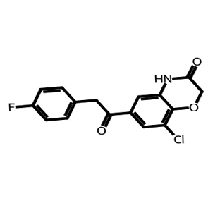 O=C1COc2c(Cl)cc(C(=O)Cc3ccc(F)cc3)cc2N1